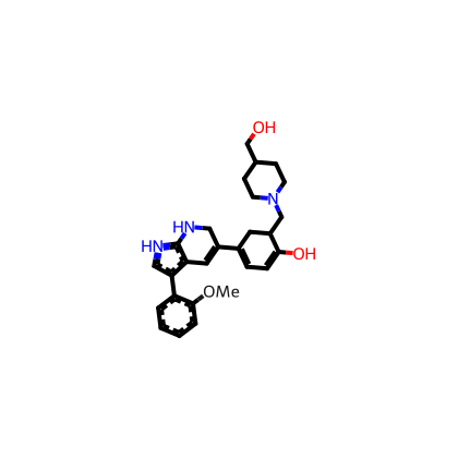 COc1ccccc1-c1c[nH]c2c1C=C(C1=CC=C(O)C(CN3CCC(CO)CC3)C1)CN2